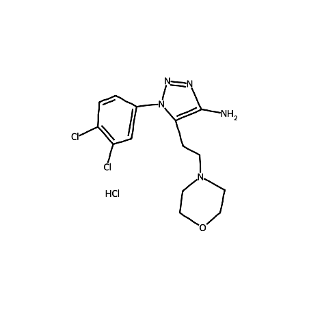 Cl.Nc1nnn(-c2ccc(Cl)c(Cl)c2)c1CCN1CCOCC1